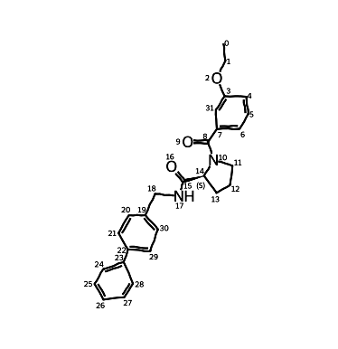 CCOc1cccc(C(=O)N2CCC[C@H]2C(=O)NCc2ccc(-c3ccccc3)cc2)c1